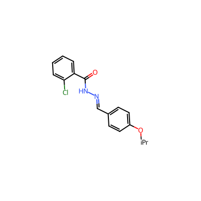 CC(C)Oc1ccc(C=NNC(=O)c2ccccc2Cl)cc1